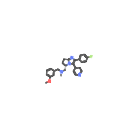 COc1cccc(CN(C)C[C@@H]2CCc3nc(-c4ccc(F)cc4)c(-c4ccncc4)n32)c1